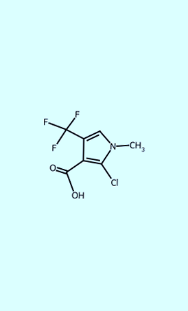 Cn1cc(C(F)(F)F)c(C(=O)O)c1Cl